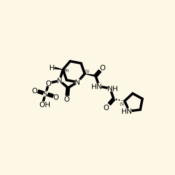 O=C(NNC(=O)[C@@H]1CC[C@@H]2CN1C(=O)N2OS(=O)(=O)O)[C@@H]1CCCN1